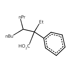 CCCCC(CCC)C(CC)(C(=O)O)c1ccccc1